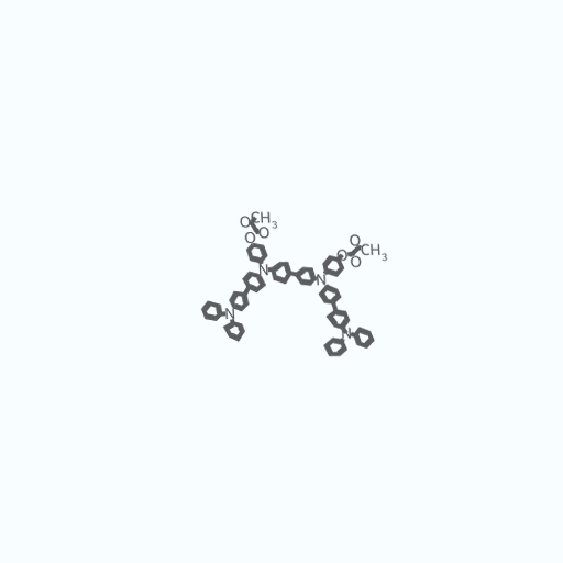 CC(=O)C(=O)OC1C=CC(N(c2ccc(-c3ccc(N(C4=CCC(OC(=O)C(C)=O)C=C4)c4ccc(-c5ccc(N(c6ccccc6)c6ccccc6)cc5)cc4)cc3)cc2)c2ccc(-c3ccc(N(c4ccccc4)c4ccccc4)cc3)cc2)=CC1